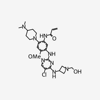 C=CC(=O)Nc1cc(Nc2ncc(Cl)c(NC3CN(CO)C3)n2)c(OC)cc1N1CCC(N(C)C)CC1